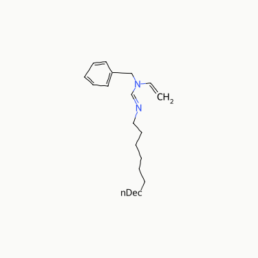 C=CN(/C=N/CCCCCCCCCCCCCCCC)Cc1ccccc1